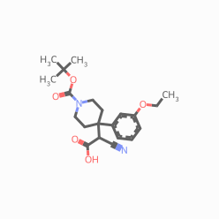 CCOc1cccc(C2(C(C#N)C(=O)O)CCN(C(=O)OC(C)(C)C)CC2)c1